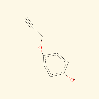 C#CCOc1ccc([O])cc1